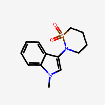 Cn1cc(N2CCCCS2(=O)=O)c2ccccc21